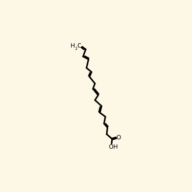 C=CC=CCC=CCC=CCC=CCC=CCC(=O)O